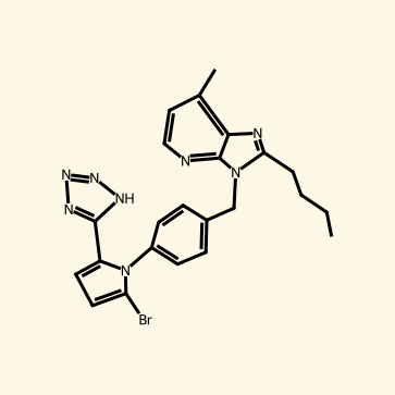 CCCCc1nc2c(C)ccnc2n1Cc1ccc(-n2c(Br)ccc2-c2nnn[nH]2)cc1